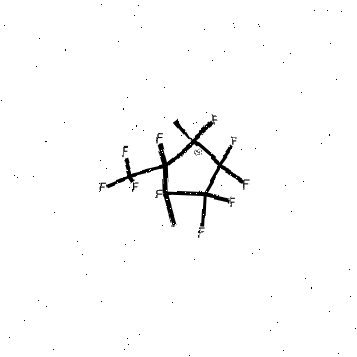 CC1(F)C(F)(F)C(F)(F)[C@@](C)(F)C1(F)C(F)(F)F